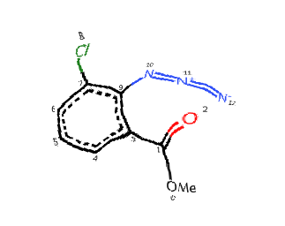 COC(=O)c1cccc(Cl)c1N=[N+]=[N-]